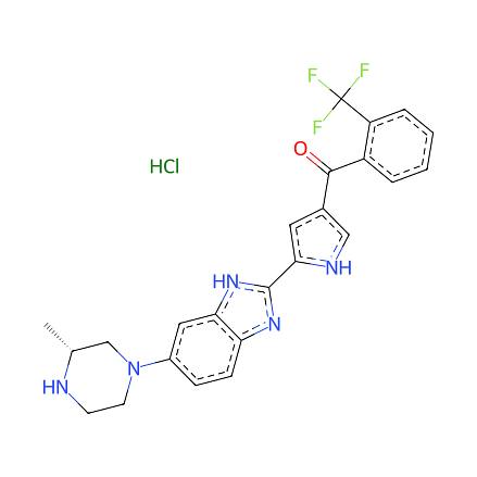 C[C@@H]1CN(c2ccc3nc(-c4cc(C(=O)c5ccccc5C(F)(F)F)c[nH]4)[nH]c3c2)CCN1.Cl